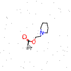 CC(C)C(=O)OCCN1CCCCC1